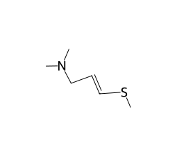 CS/C=C/CN(C)C